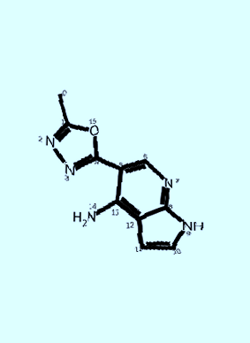 Cc1nnc(-c2cnc3[nH]ccc3c2N)o1